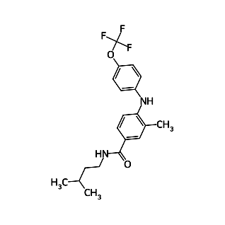 Cc1cc(C(=O)NCCC(C)C)ccc1Nc1ccc(OC(F)(F)F)cc1